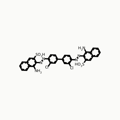 Nc1c(/N=N/c2ccc(-c3ccc(/N=N/c4c(S(=O)(=O)O)cc5ccccc5c4N)c(Cl)c3)cc2Cl)c(S(=O)(=O)O)cc2ccccc12